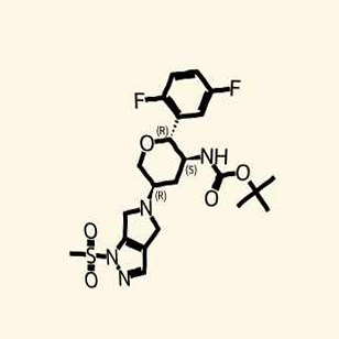 CC(C)(C)OC(=O)N[C@H]1C[C@@H](N2Cc3cnn(S(C)(=O)=O)c3C2)CO[C@@H]1c1cc(F)ccc1F